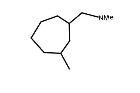 CNCC1CCCCC(C)C1